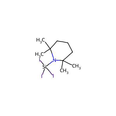 CC1(C)CCCC(C)(C)N1[Si](I)(I)I